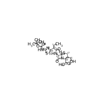 C/C=C(\C(=O)N[C@@H]1C(=O)N2C(C(=O)O)=C(CO)CS[C@@H]12)c1csc(NC(=O)OC(C)(C)C)n1